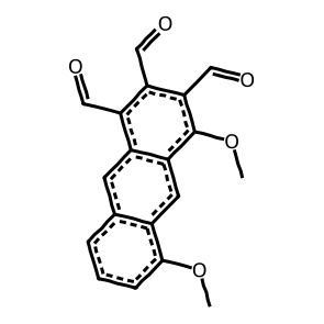 COc1cccc2cc3c(C=O)c(C=O)c(C=O)c(OC)c3cc12